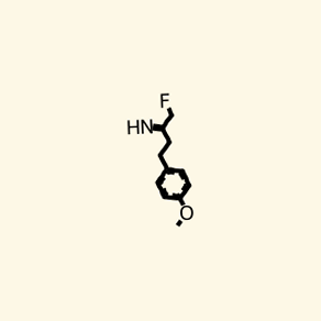 COc1ccc(CCC(=N)CF)cc1